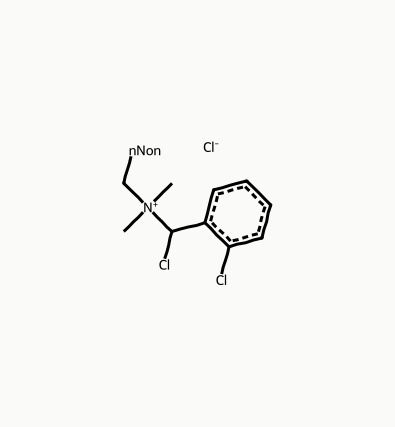 CCCCCCCCCC[N+](C)(C)C(Cl)c1ccccc1Cl.[Cl-]